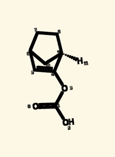 O=C(O)OC1=CC2CC[C@@H]1C2